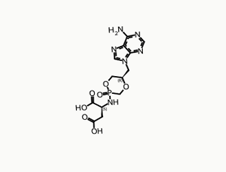 Nc1ncnc2c1ncn2C[C@@H]1COP(=O)(N[C@@H](CC(=O)O)C(=O)O)CO1